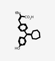 CC(C)(C)C(=Cc1ccc(C(=C2CCCCCC2)c2ccc(O)cc2)cc1)C(=O)O